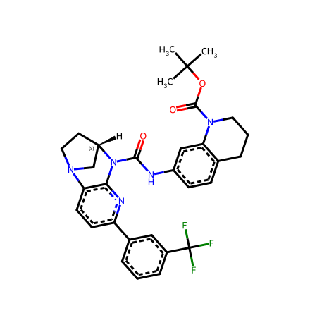 CC(C)(C)OC(=O)N1CCCc2ccc(NC(=O)N3c4nc(-c5cccc(C(F)(F)F)c5)ccc4N4CC[C@H]3C4)cc21